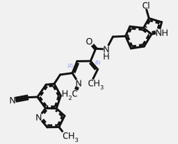 C=N/C(=C\C(=C/C)C(=O)NCc1ccc2[nH]cc(Cl)c2c1)Cc1cc(C#N)c2ncc(C)cc2c1